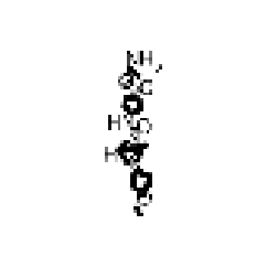 CCOc1ccc(N2C[C@H]3CN(C(=O)Nc4ccc(S(=O)(=O)CCN)cc4)CC2C(C)(C)C3)cc1